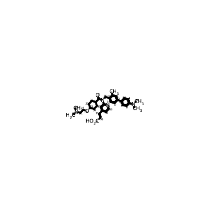 Cc1cc(-c2ccc(N(C)C)cc2)ccc1CN(C(=O)C1CCC(OCCN(C)C)CC1)c1cc(C=CC(=O)O)ccn1